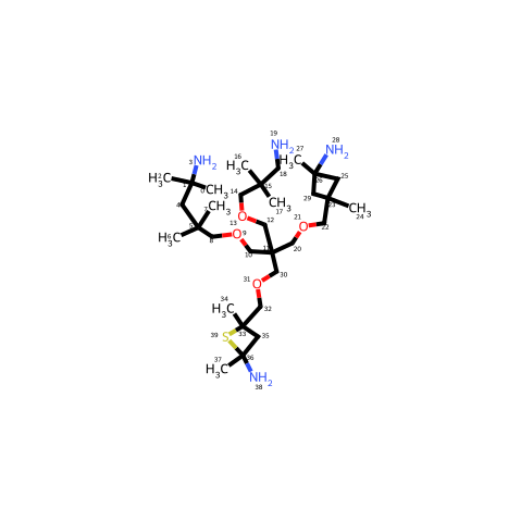 CC(C)(N)CC(C)(C)COCC(COCC(C)(C)CN)(COCC1(C)CC(C)(N)C1)COCC1(C)CC(C)(N)S1